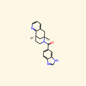 O=C(c1ccc2nc[nH]c2c1)N1CC[C@@H]2C[C@@H]1Cc1cccnc12